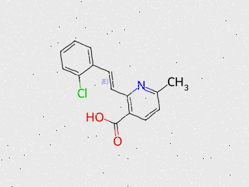 Cc1ccc(C(=O)O)c(/C=C/c2ccccc2Cl)n1